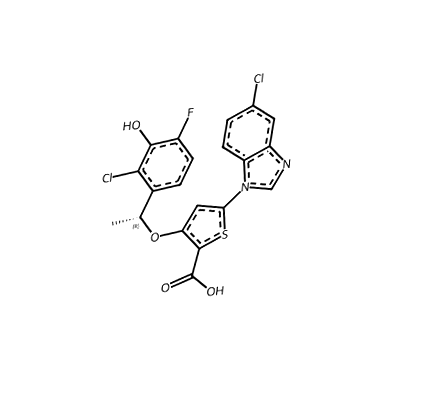 C[C@@H](Oc1cc(-n2cnc3cc(Cl)ccc32)sc1C(=O)O)c1ccc(F)c(O)c1Cl